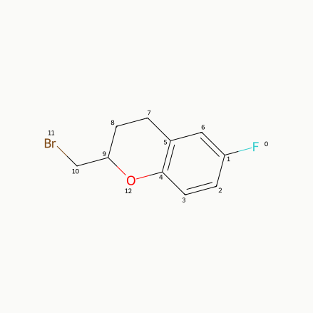 Fc1ccc2c(c1)CCC(CBr)O2